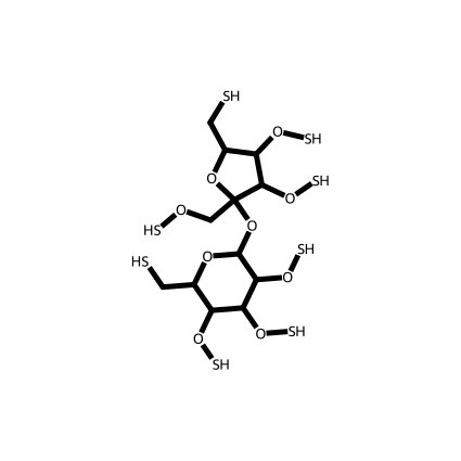 SCC1OC(OC2(COS)OC(CS)C(OS)C2OS)C(OS)C(OS)C1OS